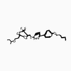 CCCCCOc1ccc(-c2ccc(OCC(OC(=O)CCOC(C)CC)C(F)(F)F)nn2)cc1